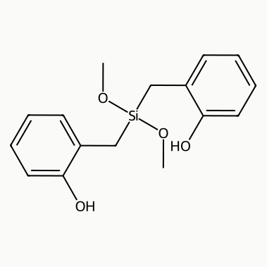 CO[Si](Cc1ccccc1O)(Cc1ccccc1O)OC